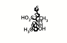 Cc1cc(-c2ccsc2)sc1C(CC(=O)O)NC(=O)Nc1c(O)ccn(C)c1=O